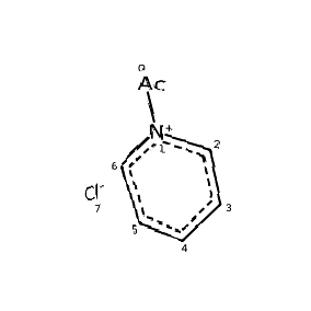 CC(=O)[n+]1ccccc1.[Cl-]